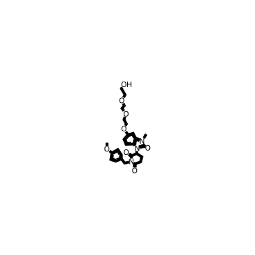 COc1ccc(CN2C(=O)CCC(n3c(=O)n(C)c4cc(OCCOCCOCCO)ccc43)C2=O)cc1